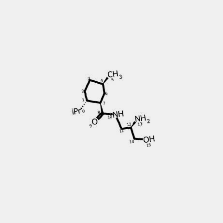 CC(C)[C@@H]1CC[C@@H](C)C[C@H]1C(=O)NC[C@@H](N)CO